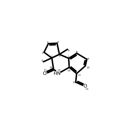 CC12CC=CC1(C)c1cccc(C=O)c1NC2=O